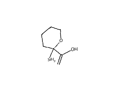 C=C(O)C1([SiH3])CCCCO1